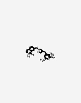 Nc1cc(Cc2cnn(Cc3ccc4cc[nH]c(=O)c4c3)c2)c2nn[nH]c2n1